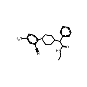 CCNC(=O)C(c1ccccc1)C1CCN(c2ccc(N)cc2C#N)CC1